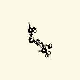 N#Cc1ccc(COc2cccc(N3C=NN(Cc4nc5c(F)cc(C(=O)O)cc5n4C[C@@H]4CCO4)CC3)n2)c2c1CCO2